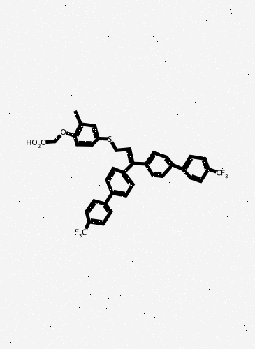 Cc1cc(SCC=C(c2ccc(-c3ccc(C(F)(F)F)cc3)cc2)c2ccc(-c3ccc(C(F)(F)F)cc3)cc2)ccc1OCC(=O)O